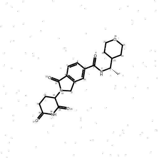 C[C@H](NC(=O)c1ccc2c(c1)CN(C1CCC(=O)NC1=O)C2=O)C1CCOCC1